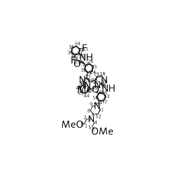 COCCN(CCOC)C1CCN(c2ccc(Nc3nccc(-c4c(-c5cccc(C(=O)Nc6c(F)cccc6F)c5)nc5ccccn45)n3)c(OC)c2)CC1